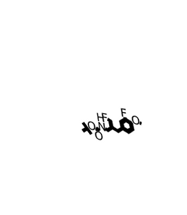 COc1ccc(CC(=CF)CNC(=O)OC(C)(C)C)cc1F